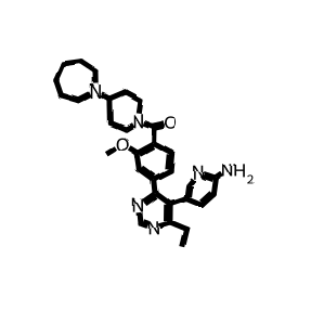 CCc1ncnc(-c2ccc(C(=O)N3CCC(N4CCCCCC4)CC3)c(OC)c2)c1-c1ccc(N)nc1